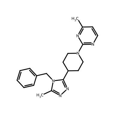 Cc1ccnc(N2CCC(c3nnc(C)n3Cc3ccccc3)CC2)n1